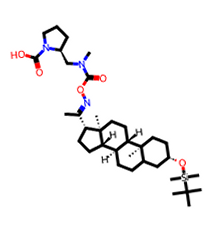 CC(=NOC(=O)N(C)C[C@@H]1CCCN1C(=O)O)[C@H]1CC[C@H]2[C@@H]3CCC4C[C@@H](O[Si](C)(C)C(C)(C)C)CC[C@]4(C)[C@H]3CC[C@]12C